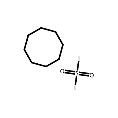 C1CCCCCCC1.O=S(=O)(I)I